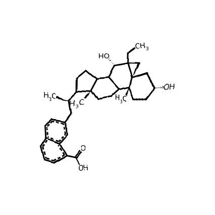 CCC12C[C@]13C[C@H](O)CC[C@]3(C)C1CC[C@@]3(C)C(CCC3[C@H](C)Cc3ccc4cccc(C(=O)O)c4c3)C1[C@@H]2O